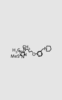 CSc1nnc(N(C)CCCOc2cccc(CN3CCCCC3)c2)n1C